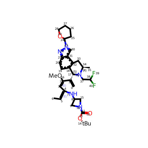 C=C(/C(=C\C(=C/C)NC1CN(C(=O)OC(C)(C)C)C1)OC)[C@@H]1c2ccc3nn(C4CCCCO4)cc3c2C[C@@H](C)N1CC(F)F